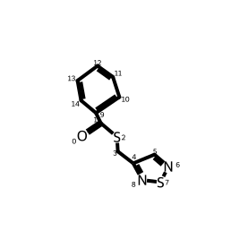 O=C(SCc1cnsn1)c1ccccc1